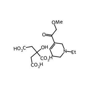 CCN1CCC=C(C(=O)COC)C1.O=C(O)CC(O)(CC(=O)O)C(=O)O